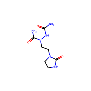 NC(=O)NN(CCN1CCNC1=O)C(N)=O